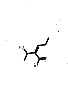 CCC=C(C(=O)O)C(C)O